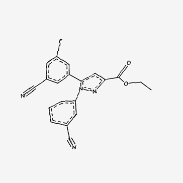 CCOC(=O)c1cc(-c2cc(F)cc(C#N)c2)n(-c2cccc(C#N)c2)n1